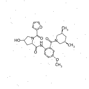 COc1ccc(NC(=O)C2CC(O)CN2C(=O)c2ccco2)c(C(=O)N2C[C@H](C)C[C@H](C)C2)c1